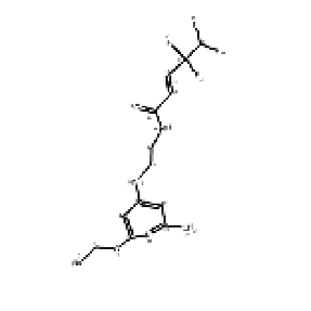 CCC(C)COc1cc(NCCNC(=O)/C=C/C(F)(F)C(F)F)cc(C)n1